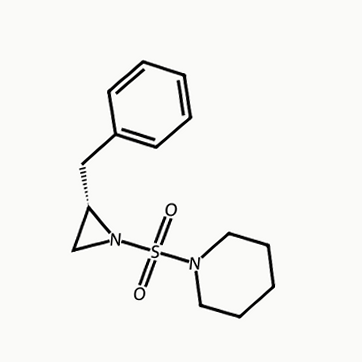 O=S(=O)(N1CCCCC1)N1C[C@@H]1Cc1ccccc1